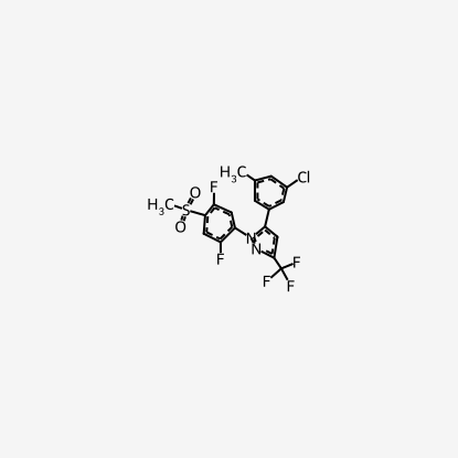 Cc1cc(Cl)cc(-c2cc(C(F)(F)F)nn2-c2cc(F)c(S(C)(=O)=O)cc2F)c1